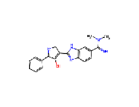 CN(C)C(=N)c1ccc2nc(C3=C(O)C(c4ccccc4)=NC3)[nH]c2c1